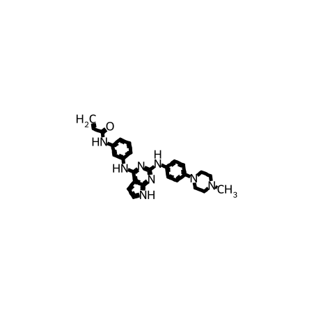 C=CC(=O)Nc1cccc(Nc2nc(Nc3ccc(N4CCN(C)CC4)cc3)nc3[nH]ccc23)c1